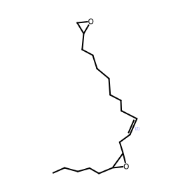 CCCCCC1OC1C/C=C\CCCCCCCC1CO1